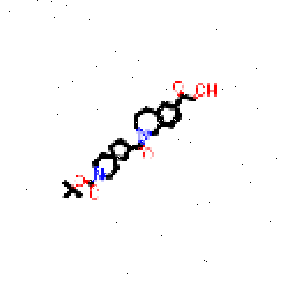 CC(C)(C)OC(=O)N1CCC2(CCC(C(=O)N3CCCc4cc(C(=O)CO)ccc4C3)C2)CC1